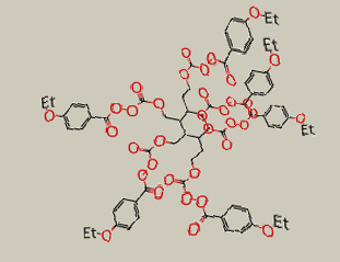 CCOc1ccc(C(=O)OOC(=O)OCCC(COC(=O)OOC(=O)c2ccc(OCC)cc2)C(COC(=O)OOC(=O)c2ccc(OCC)cc2)C(COC(=O)OOC(=O)c2ccc(OCC)cc2)C(CCOC(=O)OOC(=O)c2ccc(OCC)cc2)COC(=O)OOC(=O)c2ccc(OCC)cc2)cc1